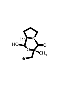 C[C@@]1(CBr)OC(O)[C@H]2CCCN2C1=O